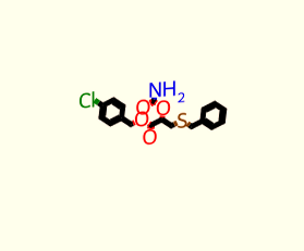 NC(=O)OC(CSCc1ccccc1)C(=O)OCc1ccc(Cl)cc1